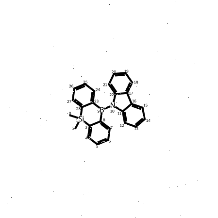 C[Si]1(C)c2ccccc2B(n2c3ccccc3c3ccccc32)c2ccccc21